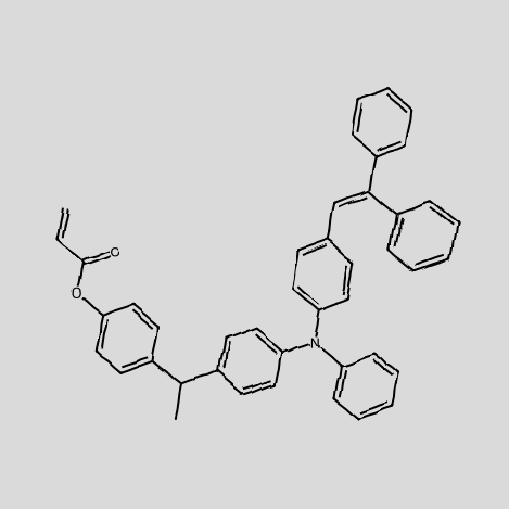 C=CC(=O)Oc1ccc(C(C)c2ccc(N(c3ccccc3)c3ccc(C=C(c4ccccc4)c4ccccc4)cc3)cc2)cc1